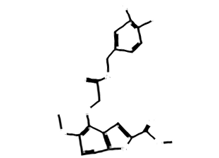 COC(=O)c1cc2c(OCC(=O)NCc3ccc(Cl)c(Cl)c3)c(OC)ccc2[nH]1